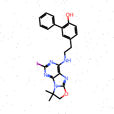 CC1(C)COc2nc3c(NCCc4ccc(O)c(-c5ccccc5)c4)nc(I)nc3n21